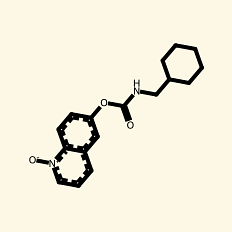 O=C(NCC1CCCCC1)Oc1ccc2c(ccc[n+]2[O-])c1